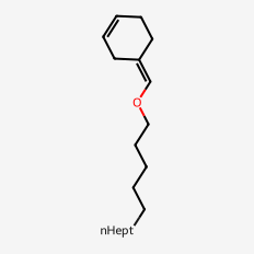 CCCCCCCCCCCCOC=C1CC=CCC1